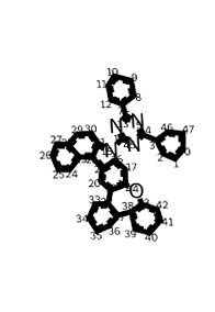 c1ccc(-c2nc(-c3ccccc3)nc(-n3c4cc5c(cc4c4c6ccccc6ccc43)-c3ccccc3-c3ccccc3O5)n2)cc1